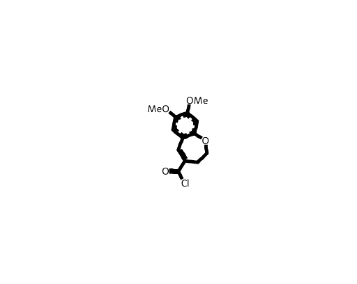 COc1cc2c(cc1OC)OCCC(C(=O)Cl)=C2